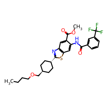 CCCCOC[C@H]1CC[C@H](c2nc3cc(C(=O)OC)c(NC(=O)c4cccc(C(F)(F)F)c4)cc3s2)CC1